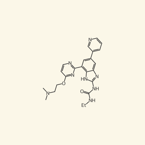 CCNC(=O)Nc1nc2cc(-c3cccnc3)cc(-c3nccc(OCCN(C)C)n3)c2[nH]1